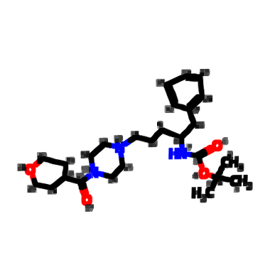 CC(C)(C)OC(=O)N[C@@H](CCCN1CCN(C(=O)C2CCOCC2)CC1)Cc1ccccc1